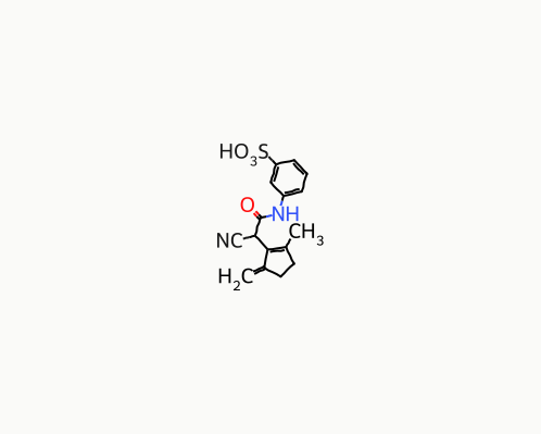 C=C1CCC(C)=C1C(C#N)C(=O)Nc1cccc(S(=O)(=O)O)c1